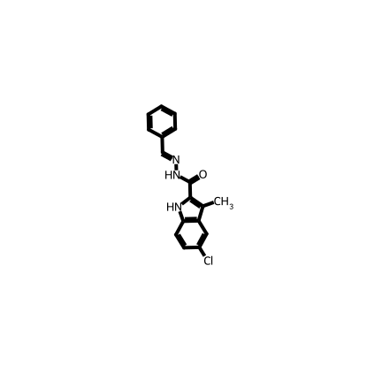 Cc1c(C(=O)NN=Cc2ccccc2)[nH]c2ccc(Cl)cc12